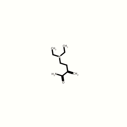 C=C(CCN(CC)CC)C(N)=O